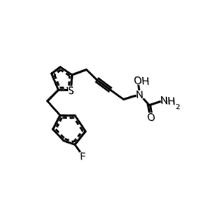 NC(=O)N(O)CC#CCc1ccc(Cc2ccc(F)cc2)s1